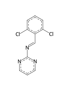 Clc1cccc(Cl)c1C=Nc1ncccn1